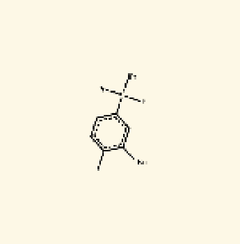 Cc1ccc([Si](C(C)C)(C(C)C)C(C)C)cc1C(C)(C)C